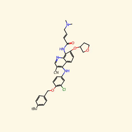 CN(C)C/C=C/C(=O)Nc1c(OC2CCOC2)ccc2c(Nc3ccc(OCc4ccc(C(C)(C)C)cc4)c(Cl)c3)c(C#N)cnc12